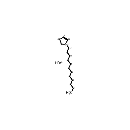 Br.CCCCCCCCCCCCN1C=CSC1